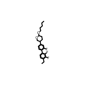 CCCCCOC1CCC(c2ccc(-c3ccc(CC)c(F)c3F)c(F)c2)CO1